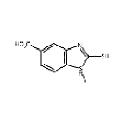 C[SH]1C(S)=Nc2cc(C(=O)O)ccc21